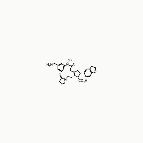 CCCCN(C(=O)CN1C[C@H](c2ccc3c(c2)CCO3)[C@@H](C(=O)O)[C@@H]1CCN1CCCC1=O)c1cccc(CN)c1